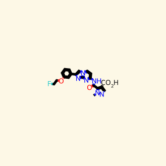 Cn1ncc(C(=O)O)c1C(=O)Nc1ccn2cc(-c3cccc(OCCF)c3)nc2n1